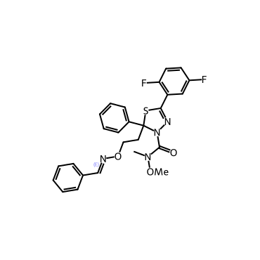 CON(C)C(=O)N1N=C(c2cc(F)ccc2F)SC1(CCO/N=C/c1ccccc1)c1ccccc1